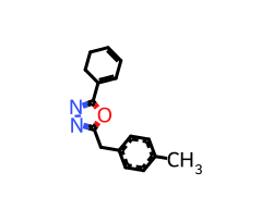 Cc1ccc(Cc2nnc(C3=CC=CCC3)o2)cc1